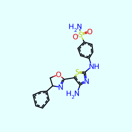 Nc1nc(Nc2ccc(S(N)(=O)=O)cc2)sc1C1=NC(c2ccccc2)CO1